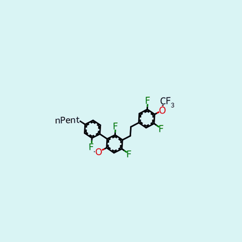 CCCCCc1ccc(-c2c([O])cc(F)c(CCc3cc(F)c(OC(F)(F)F)c(F)c3)c2F)c(F)c1